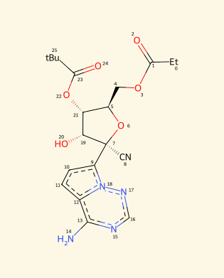 CCC(=O)OC[C@H]1O[C@@](C#N)(c2ccc3c(N)ncnn23)[C@H](O)[C@@H]1OC(=O)C(C)(C)C